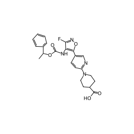 CC(OC(=O)Nc1c(F)noc1-c1ccc(N2CCC(C(=O)O)CC2)nc1)c1ccccc1